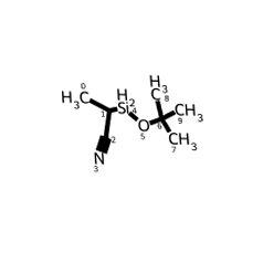 CC(C#N)[SiH2]OC(C)(C)C